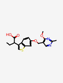 CCC(C(=O)O)c1csc2cc(OCc3cnc(C)nc3OC)ccc12